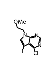 COCCn1cc(I)c2c(Cl)ncnc21